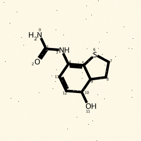 NC(=O)NC1=C2SCCC2C(O)C=C1